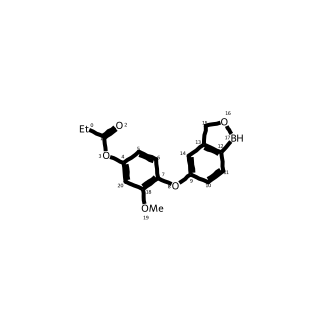 CCC(=O)Oc1ccc(Oc2ccc3c(c2)COB3)c(OC)c1